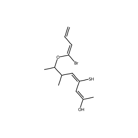 C=C/C=C(/Br)OC(C)C(C)/C=C(S)\C=C(/C)O